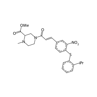 COC(=O)C1CN(C(=O)C=Cc2ccc(Sc3ccccc3C(C)C)c([N+](=O)[O-])c2)CCN1C